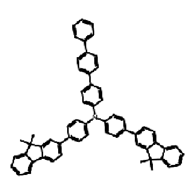 CC1(C)c2ccccc2-c2ccc(-c3ccc(N(c4ccc(-c5ccc(-c6ccccc6)cc5)cc4)c4ccc(-c5ccc6c(c5)C(C)(C)c5ccccc5-6)cc4)cc3)cc21